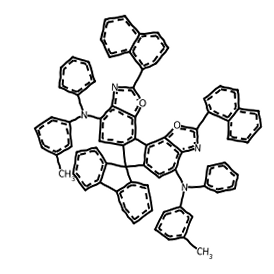 Cc1cccc(N(c2ccccc2)c2cc3c(c4oc(-c5cccc6ccccc56)nc24)-c2c(cc(N(c4ccccc4)c4cccc(C)c4)c4nc(-c5cccc6ccccc56)oc24)C32c3ccccc3-c3ccccc32)c1